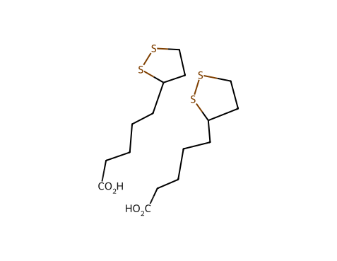 O=C(O)CCCCC1CCSS1.O=C(O)CCCCC1CCSS1